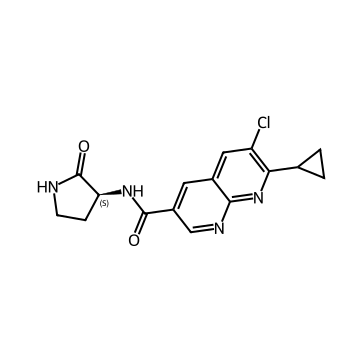 O=C(N[C@H]1CCNC1=O)c1cnc2nc(C3CC3)c(Cl)cc2c1